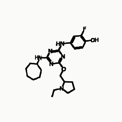 CCN1CCCC1COc1nc(Nc2ccc(O)c(F)c2)nc(NC2CCCCCC2)n1